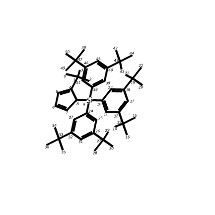 CC(C)(C)C1=CC=C[C]1[Si](c1cc(C(C)(C)C)cc(C(C)(C)C)c1)(c1cc(C(C)(C)C)cc(C(C)(C)C)c1)c1cc(C(C)(C)C)cc(C(C)(C)C)c1